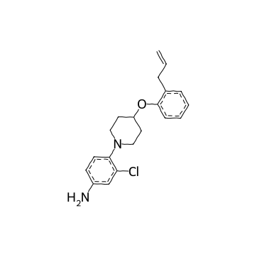 C=CCc1ccccc1OC1CCN(c2ccc(N)cc2Cl)CC1